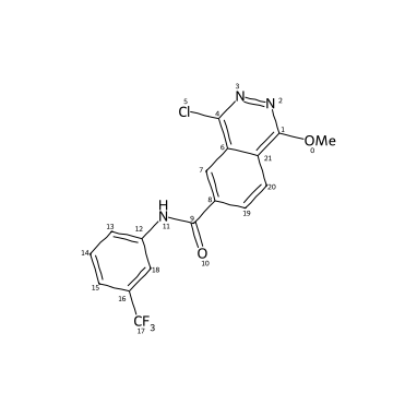 COc1nnc(Cl)c2cc(C(=O)Nc3cccc(C(F)(F)F)c3)ccc12